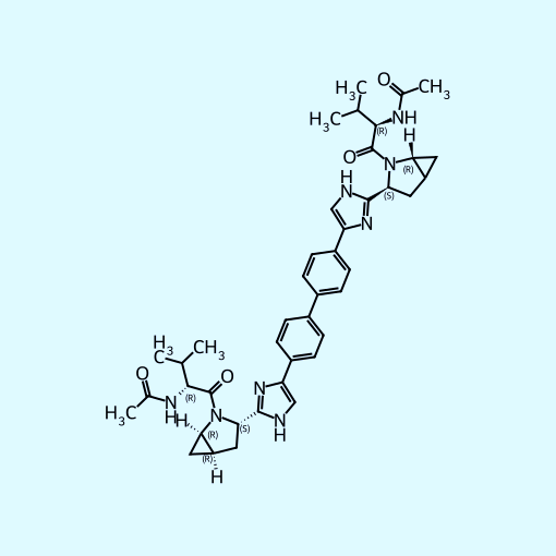 CC(=O)N[C@@H](C(=O)N1[C@@H]2CC2C[C@H]1c1nc(-c2ccc(-c3ccc(-c4c[nH]c([C@@H]5C[C@H]6C[C@H]6N5C(=O)[C@H](NC(C)=O)C(C)C)n4)cc3)cc2)c[nH]1)C(C)C